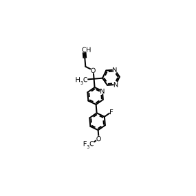 C#CCOC(C)(c1cncnc1)c1ccc(-c2ccc(OC(F)(F)F)cc2F)cn1